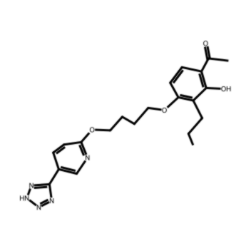 CCCc1c(OCCCCOc2ccc(-c3nn[nH]n3)cn2)ccc(C(C)=O)c1O